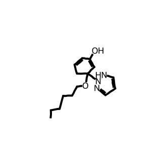 CCCCCCOC1(N2N=CC=CN2)C=C(O)C=CC1